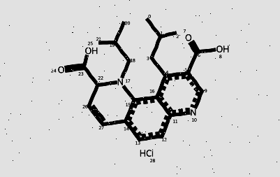 CC(C)Cc1c(C(=O)O)cnc2ccc3c(c12)N(CC(C)C)C(C(=O)O)C=C3.Cl